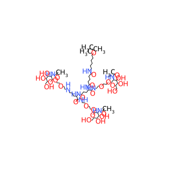 CC(=O)NC1C(OCCOCCNCCCC(NC(=O)CCC(NC(=O)CCCC(=O)NCCCCCCOC(C)(C)C)C(=O)NCCOCCOC2OC(CO)C(O)C(O)C2NC(C)=O)C(=O)NCCOCCOC2OC(CO)C(O)C(O)C2NC(C)=O)OC(CO)C(O)C1O